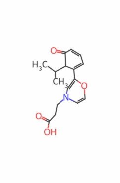 CC(C)C1C(=O)C=CC=C1C1=CN(CCC(=O)O)C=CO1